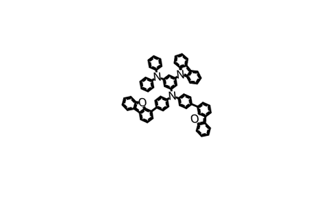 c1ccc(N(c2ccccc2)c2cc(N(c3ccc(-c4cccc5c4oc4ccccc45)cc3)c3ccc(-c4cccc5c4oc4ccccc45)cc3)cc(-n3c4ccccc4c4ccccc43)c2)cc1